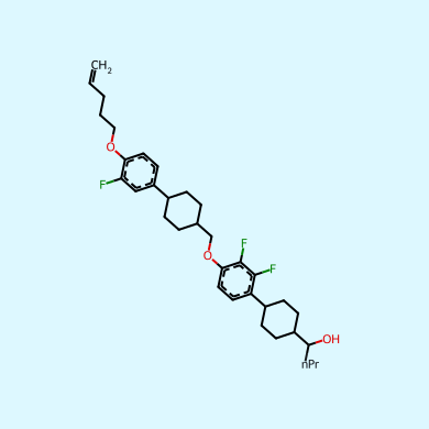 C=CCCCOc1ccc(C2CCC(COc3ccc(C4CCC(C(O)CCC)CC4)c(F)c3F)CC2)cc1F